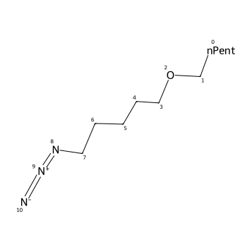 CCCCCCOCCCCCN=[N+]=[N-]